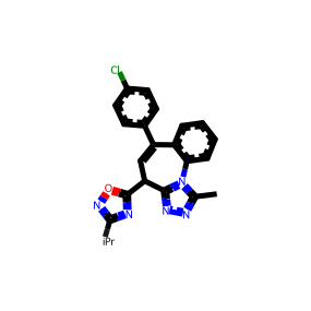 Cc1nnc2n1-c1ccccc1C(c1ccc(Cl)cc1)=CC2c1nc(C(C)C)no1